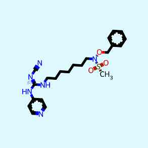 CS(=O)(=O)N(CCCCCCCN/C(=N\C#N)Nc1ccncc1)OCc1ccccc1